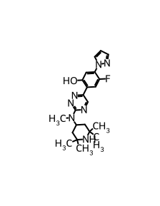 CN(c1ncc(-c2cc(F)c(-n3cccn3)cc2O)nn1)C1CC(C)(C)NC(C)(C)C1